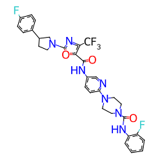 O=C(Nc1ccc(N2CCN(C(=O)Nc3ccccc3F)CC2)nc1)c1oc(N2CCC(c3ccc(F)cc3)C2)nc1C(F)(F)F